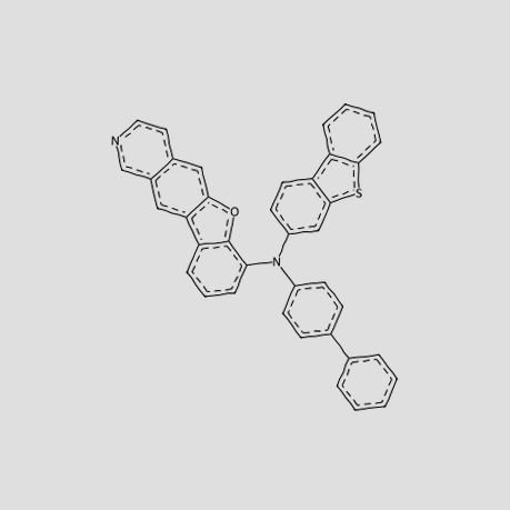 c1ccc(-c2ccc(N(c3ccc4c(c3)sc3ccccc34)c3cccc4c3oc3cc5ccncc5cc34)cc2)cc1